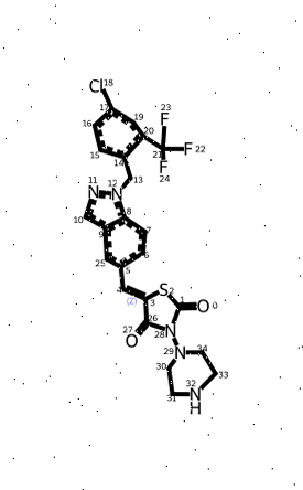 O=C1S/C(=C\c2ccc3c(cnn3Cc3ccc(Cl)cc3C(F)(F)F)c2)C(=O)N1N1CCNCC1